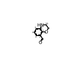 O=Cc1cccc2c1OCCN2